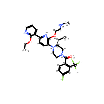 CCOc1ncccc1-c1ccc(N2CCN(C(=O)c3ccc(F)cc3C(F)(F)F)C[C@H]2CC)c(OCCNC)n1